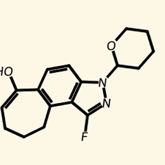 OC1=CCCCc2c1ccc1c2c(F)nn1C1CCCCO1